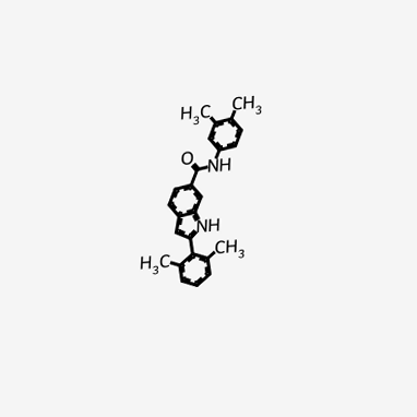 Cc1ccc(NC(=O)c2ccc3cc(-c4c(C)cccc4C)[nH]c3c2)cc1C